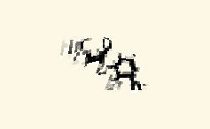 C=CC(=O)Oc1cccc(Br)c1Br